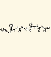 NCC(=O)CCC(=O)OCCOC(=O)CCC(=O)CNCl